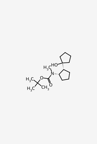 CN(C(=O)OC(C)(C)C)[C@H]1CCC[C@H]1C1(O)CCCC1